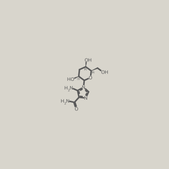 NC(=O)c1ncn(C2O[C@H](CO)[C@H](O)C[C@@H]2O)c1N